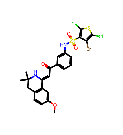 COc1ccc2c(c1)/C(=C/C(=O)c1cccc(NS(=O)(=O)c3c(Cl)sc(Cl)c3Br)c1)NC(C)(C)C2